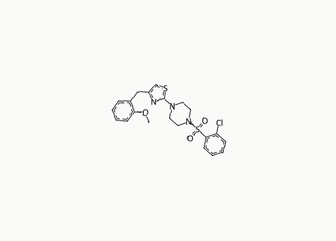 COc1ccccc1Cc1csc(N2CCN(S(=O)(=O)c3ccccc3Cl)CC2)n1